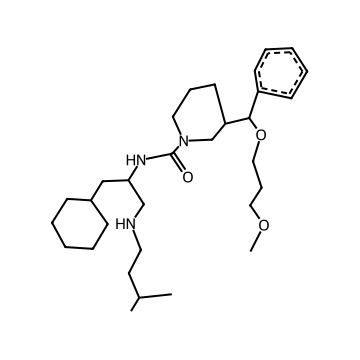 COCCCOC(c1ccccc1)C1CCCN(C(=O)NC(CNCCC(C)C)CC2CCCCC2)C1